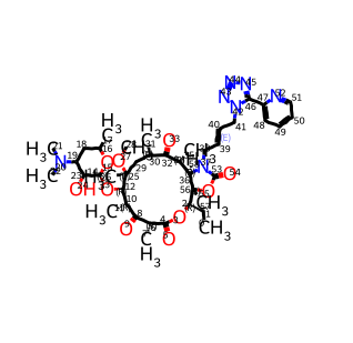 CC[C@H]1OC(=O)[C@H](C)C(=O)[C@H](C)[C@@H](O[C@@H]2OC(C)CC(N(C)C)C2O)[C@](C)(OC)C[C@@H](C)C(=O)[C@H](C)[C@H]2N(C/C=C/Cn3nnnc3-c3ccccn3)C(=O)O[C@]12C